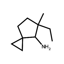 CCC1(C)CCC2(CC2)C1N